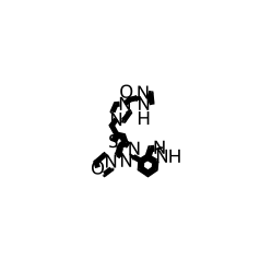 O=C(c1ncc[nH]1)N1CCN(Cc2cc3nc(-c4cccc5[nH]ncc45)nc(N4CCOCC4)c3s2)CC1